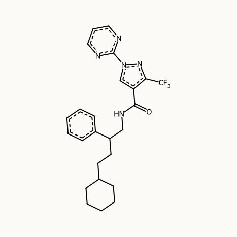 O=C(NCC(CCC1CCCCC1)c1ccccc1)c1cn(-c2ncccn2)nc1C(F)(F)F